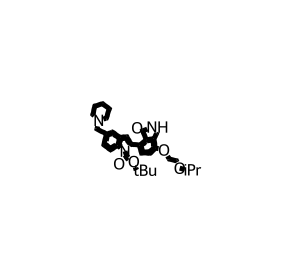 CC(C)OCCOc1ccc(-c2cc3cc(CN4CCCCC4)ccc3n2C(=O)OC(C)(C)C)c2c1CNC2=O